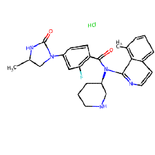 Cc1cccc2ccnc(N(C(=O)c3ccc(N4CC(C)NC4=O)cc3F)[C@@H]3CCCNC3)c12.Cl